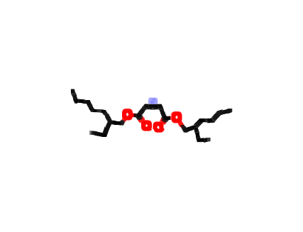 CCCCCC(CC)COC(=O)/C=C\C(=O)OCC(CC)CCCC